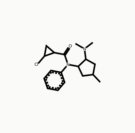 CC1CC(N(C)C)C(N(C(=O)C2CC2Cl)c2ccccc2)C1